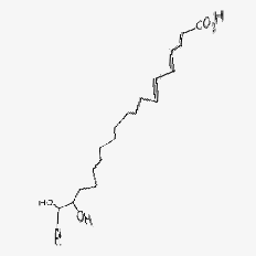 CCC(O)C(O)CCCCCCCCCC=CC=CC=CC(=O)O